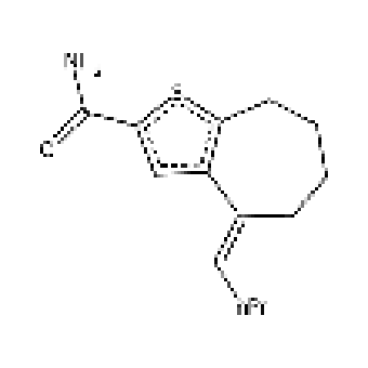 CCCC=C1CCCCc2sc(C(N)=O)cc21